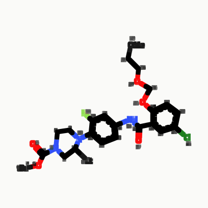 CCC1CN(C(=O)OC(C)(C)C)CCN1c1ccc(NC(=O)c2cc(Cl)ccc2OCOCCOC)cc1F